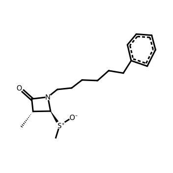 C[C@@H]1C(=O)N(CCCCCCc2ccccc2)[C@H]1[S+](C)[O-]